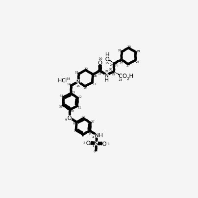 CS(=O)(=O)Nc1ccc(Oc2ccc(CN3CCC(C(=O)N[C@@H](C(=O)O)[C@H](O)C4CCCCC4)CC3)cc2)cc1.Cl